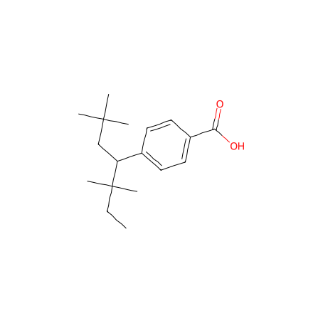 CCC(C)(C)C(CC(C)(C)C)c1ccc(C(=O)O)cc1